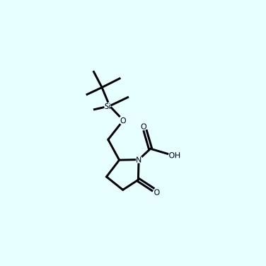 CC(C)(C)[Si](C)(C)OCC1CCC(=O)N1C(=O)O